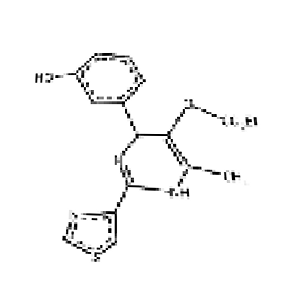 CCOC(=O)OC1=C(C)NC(c2cscn2)=NC1c1cccc(O)c1